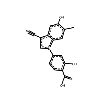 Cc1cc2c(cc1O)c(C#N)cn2-c1ccc(C(=O)O)c(O)c1